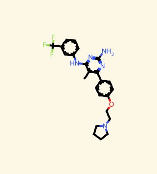 Cc1c(Nc2cccc(C(F)(F)F)c2)nc(N)nc1-c1ccc(OCCN2CCCC2)cc1